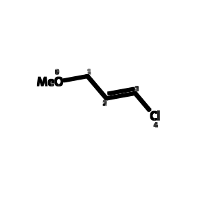 [CH2]OCC=CCl